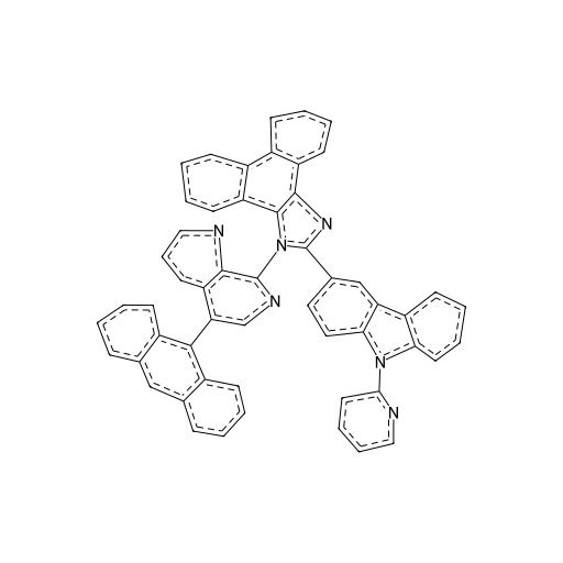 c1ccc(-n2c3ccccc3c3cc(-c4nc5c6ccccc6c6ccccc6c5n4-c4ncc(-c5c6ccccc6cc6ccccc56)c5cccnc45)ccc32)nc1